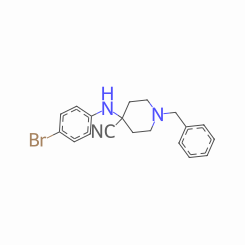 N#CC1(Nc2ccc(Br)cc2)CCN(Cc2ccccc2)CC1